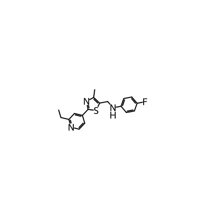 CCc1cc(-c2nc(C)c(CNc3ccc(F)cc3)s2)ccn1